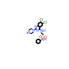 CN1CCN(c2nc(NCCS(=O)(=O)Nc3ccccc3)c3cc(Cl)c(Cl)cc3n2)CC1